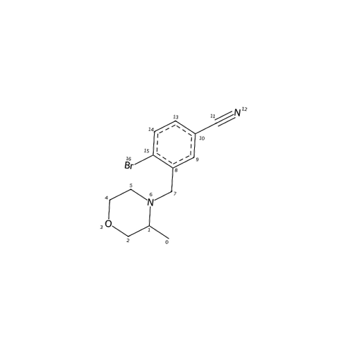 CC1COCCN1Cc1cc(C#N)ccc1Br